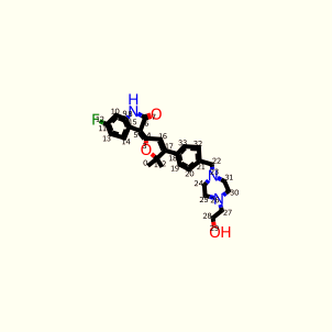 CC1(C)O/C(=C2/C(=O)Nc3cc(F)ccc32)C=C1c1ccc(CN2CCN(CCO)CC2)cc1